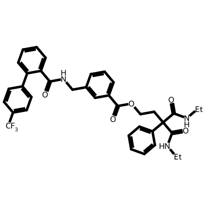 CCNC(=O)C(CCOC(=O)c1cccc(CNC(=O)c2ccccc2-c2ccc(C(F)(F)F)cc2)c1)(C(=O)NCC)c1ccccc1